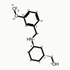 OC[C@@H]1CCC[C@@H](NCc2cccc(OC(F)(F)F)c2)C1